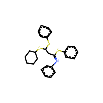 c1ccc(N=C(CC(Sc2ccccc2)SC2CCCCC2)Sc2ccccc2)cc1